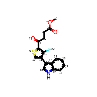 COC(=O)CCC(=O)c1scc(-c2c[nH]c3ccccc23)c1F